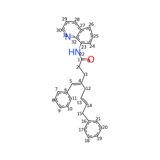 O=C(CCC(=Cc1ccccc1)CC=CCc1ccccc1)Nc1cccc2cccnc12